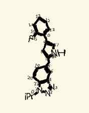 CC(C)n1nnc2cc(-c3cc(-c4ccccc4F)c[nH]3)ccc21